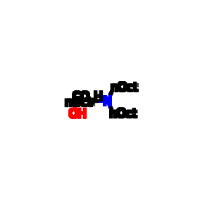 CCCCCCCCN(CCCCCCCC)CCCCCCCC.O=C(O)O